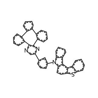 c1cc(-c2cnc3c(n2)-c2ccccc2-c2ccccc2-c2ccccc2-3)cc(-n2c3ccccc3c3c4c(ccc32)sc2ccccc24)c1